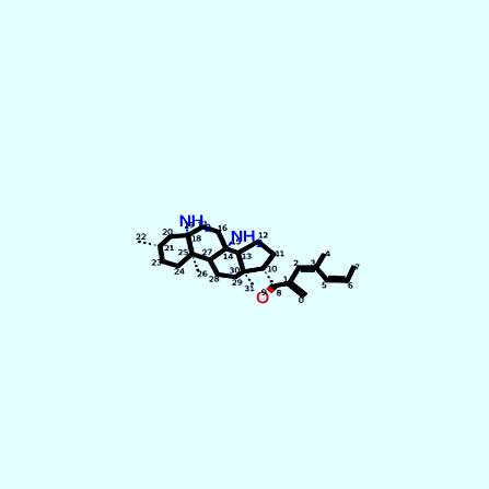 C=C(/C=C(C)\C=C/C)C(=O)[C@H]1CCC2[C@]3(N)CC[C@]4(N)C[C@@H](C)CC[C@]4(C)C3CC[C@@]21C